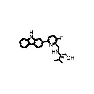 CC(C)[C@H](CO)NCc1nc(-c2ccc3c(c2)[nH]c2ccccc23)ccc1F